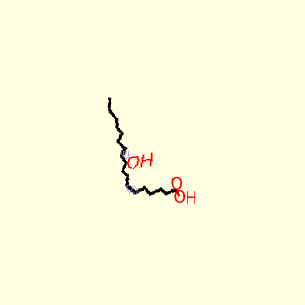 CCCCCC/C=C/C(O)CC/C=C\CCCCC(=O)O